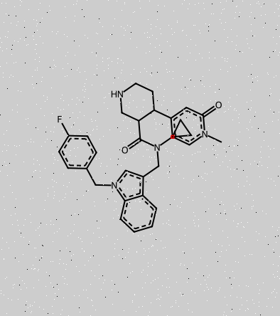 Cn1ccc(C2CCNCC2C(=O)N(Cc2cn(Cc3ccc(F)cc3)c3ccccc23)C2CC2)cc1=O